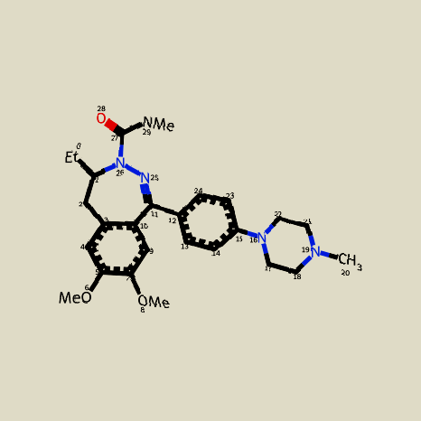 CCC1Cc2cc(OC)c(OC)cc2C(c2ccc(N3CCN(C)CC3)cc2)=NN1C(=O)NC